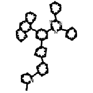 Cc1cccc(-c2cccc(-c3ccc(-c4cc(-c5nc(-c6ccccc6)nc(-c6ccccc6)n5)cc(-c5c6ccccc6cc6ccccc56)c4)cc3)c2)n1